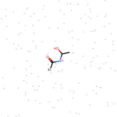 CCC(=O)NC(C)O